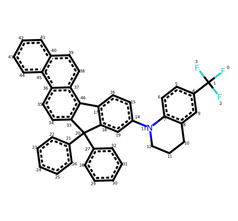 FC(F)(F)c1ccc2c(c1)CCCN2c1ccc2c(c1)C(c1ccccc1)(c1ccccc1)c1ccc3c(ccc4ccccc43)c1-2